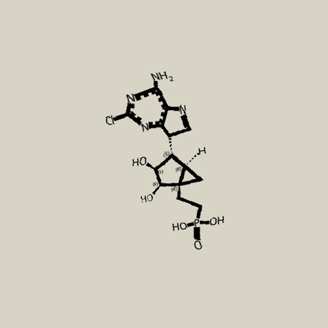 Nc1nc(Cl)nc2c1N=CC2[C@H]1[C@H](O)[C@H](O)[C@@]2(CCP(=O)(O)O)C[C@H]12